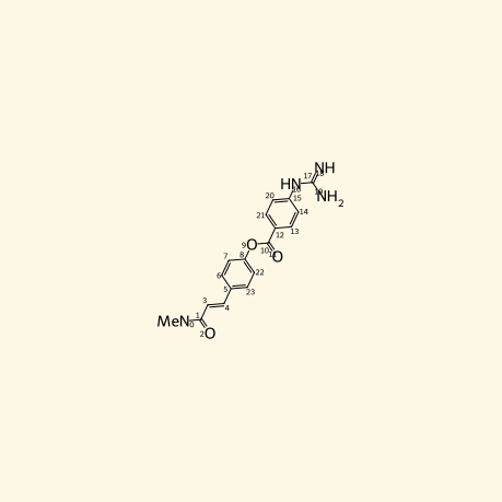 CNC(=O)C=Cc1ccc(OC(=O)c2ccc(NC(=N)N)cc2)cc1